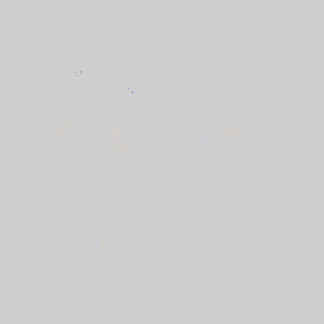 C#Cc1cnc2cc(F)c(OC(SC)C(=O)NC(C)(C)c3cc(COC)on3)cc2c1